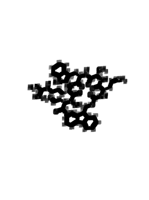 C=CC[C@H](NC(=O)OCC1c2ccccc2-c2ccccc21)C(=O)N[C@@H](C)C(=O)N[C@@H](Cc1c[nH]c2ccccc12)C(=O)N[C@@H](CCCNC(=N)N)C(=O)N(N)[C@@H](CC=C)C(N)=O